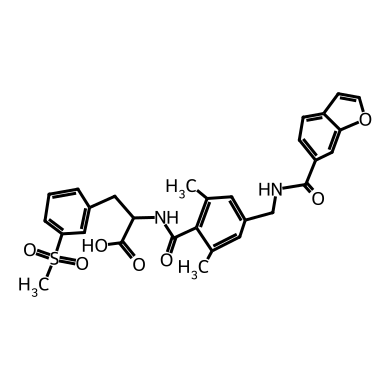 Cc1cc(CNC(=O)c2ccc3ccoc3c2)cc(C)c1C(=O)NC(Cc1cccc(S(C)(=O)=O)c1)C(=O)O